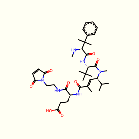 CN[C@H](C(=O)N[C@H](C(=O)N(C)[C@H](/C=C(\C)C(=O)N[C@@H](CCC(=O)O)C(=O)NCCN1C(=O)C=CC1=O)C(C)C)C(C)(C)C)C(C)(C)c1ccccc1